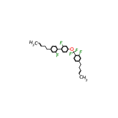 C/C=C/CCc1ccc(-c2ccc(OC(F)(F)c3ccc(CC/C=C/C)cc3F)cc2F)c(F)c1